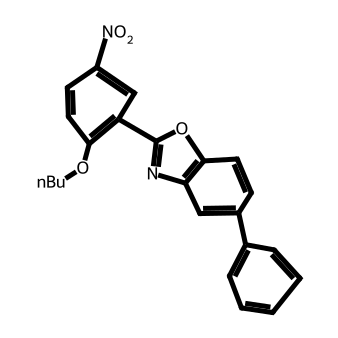 CCCCOc1ccc([N+](=O)[O-])cc1-c1nc2cc(-c3ccccc3)ccc2o1